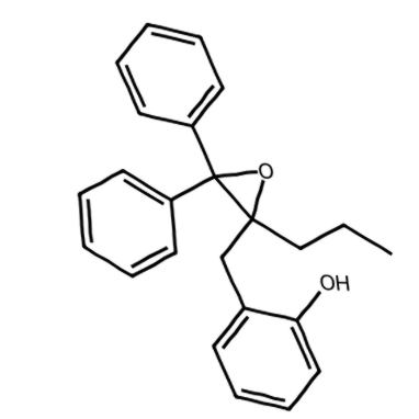 CCCC1(Cc2ccccc2O)OC1(c1ccccc1)c1ccccc1